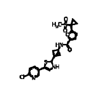 CS(=O)(=O)C1(c2ccc(C(=O)NC34CC(C5NC=C(c6ccc(Cl)nc6)S5)(C3)C4)o2)CC1